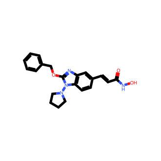 O=C(C=Cc1ccc2c(c1)nc(OCc1ccccc1)n2N1CCCC1)NO